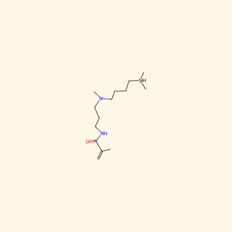 C=C(C)C(=O)NCCCN(C)CCCC[SiH](C)C